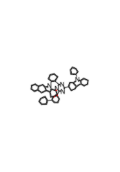 c1ccc(-c2cccc(-c3nc(-c4ccc5c6ccccc6n(-c6ccccc6)c5c4)nc(-c4ccccc4-n4c5ccccc5c5cc6ccccc6cc54)n3)c2)cc1